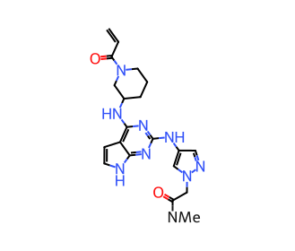 C=CC(=O)N1CCCC(Nc2nc(Nc3cnn(CC(=O)NC)c3)nc3[nH]ccc23)C1